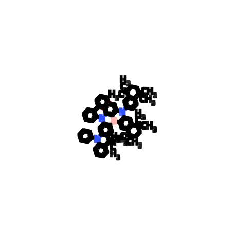 CC1(C)CCC(C)(C)c2cc(N3c4cc5c(cc4B4c6cc7c(cc6N(c6ccccc6-c6ccccc6)c6cccc3c64)N(c3ccccc3)c3ccccc3C7(C)C)C(C)(C)CCC5(C)C)ccc21